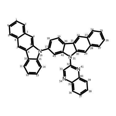 c1ccc2cc3c(cc2c1)c1ccccc1n3-c1ccc2c3cc4ccccc4cc3n(-c3cnc4ccccc4n3)c2c1